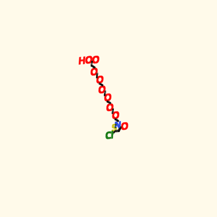 O=C(O)CCOCCOCCOCCOCCOCCOCCn1sc(Cl)cc1=O